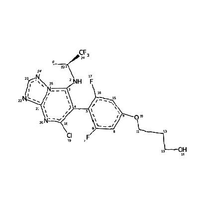 C[C@H](Nc1c(-c2c(F)cc(OCCCO)cc2F)c(Cl)nc2ncnn12)C(F)(F)F